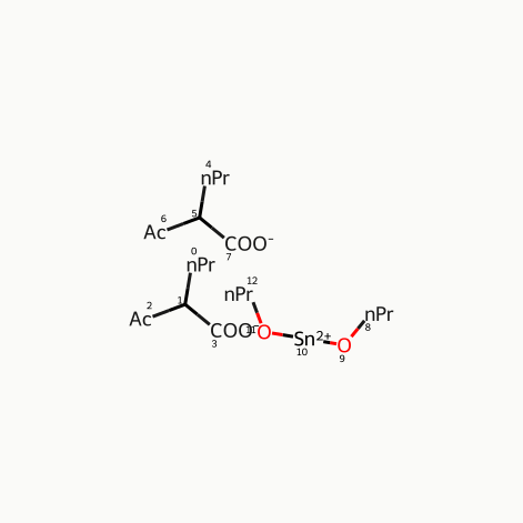 CCCC(C(C)=O)C(=O)[O-].CCCC(C(C)=O)C(=O)[O-].CCC[O][Sn+2][O]CCC